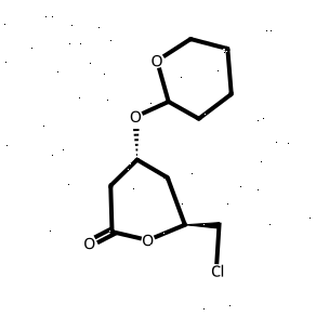 O=C1C[C@H](OC2CCCCO2)C[C@@H](CCl)O1